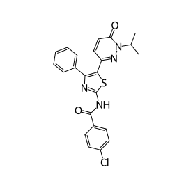 CC(C)n1nc(-c2sc(NC(=O)c3ccc(Cl)cc3)nc2-c2ccccc2)ccc1=O